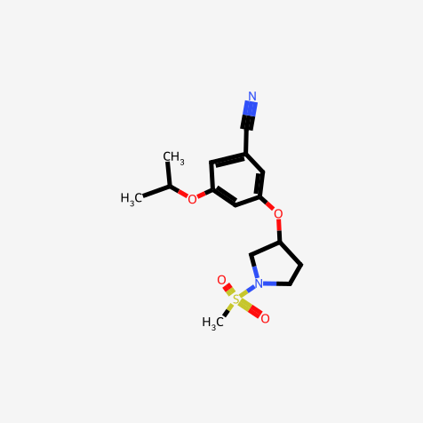 CC(C)Oc1cc(C#N)cc(OC2CCN(S(C)(=O)=O)C2)c1